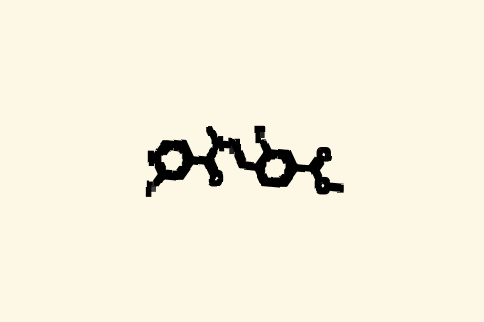 COC(=O)c1ccc(/C=N/N(C)C(=O)c2ccnc(F)c2)c(F)c1